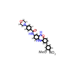 COc1cc(-c2ccc3o[nH]c4cc(NC(=O)c5ccc(N6CCOCC6)cc5)ccc4[nH]c3c2)ccc1[N+](=O)[O-]